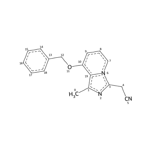 Cc1nc(CC#N)n2cccc(OCc3ccccc3)c12